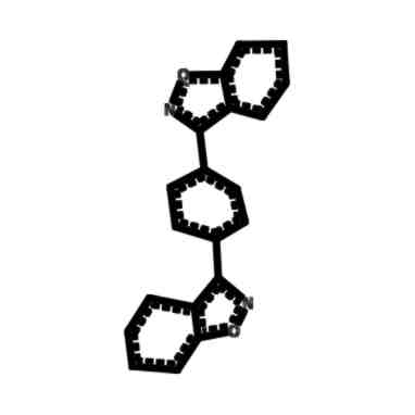 c1ccc2c(-c3ccc(-c4noc5ccccc45)cc3)noc2c1